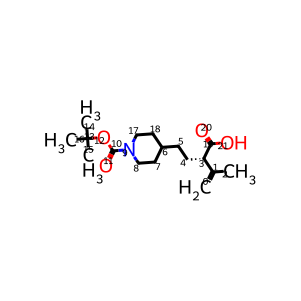 C=C(C)[C@H](CCC1CCN(C(=O)OC(C)(C)C)CC1)C(=O)O